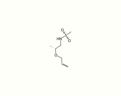 C=CCO[C@H](C)CNS(C)(=O)=O